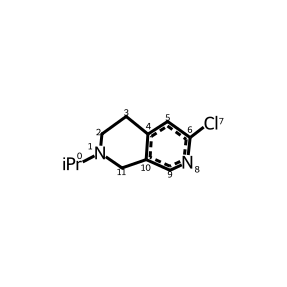 CC(C)N1CCc2cc(Cl)ncc2C1